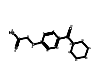 O=C(O)COc1ccc(C(=O)N2CCCCC2)cc1